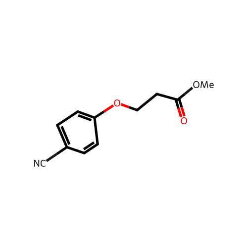 COC(=O)CCOc1ccc(C#N)cc1